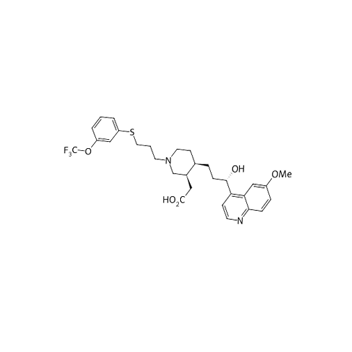 COc1ccc2nccc([C@@H](O)CC[C@@H]3CCN(CCCSc4cccc(OC(F)(F)F)c4)C[C@@H]3CC(=O)O)c2c1